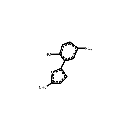 O=Cc1ccc(-c2cc([N+](=O)[O-])ccc2O)o1